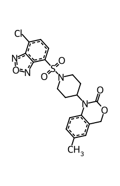 Cc1ccc2c(c1)COC(=O)N2C1CCN(S(=O)(=O)c2ccc(Cl)c3nonc23)CC1